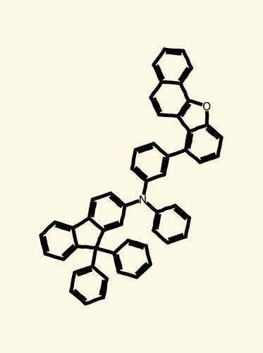 c1ccc(N(c2cccc(-c3cccc4oc5c6ccccc6ccc5c34)c2)c2ccc3c(c2)C(c2ccccc2)(c2ccccc2)c2ccccc2-3)cc1